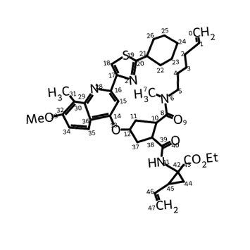 C=CCCCCN(C)C(=O)C1CC(Oc2cc(-c3csc(C4CCCCC4)n3)nc3c(C)c(OC)ccc23)CC1C(=O)NC1(C(=O)OCC)CC1C=C